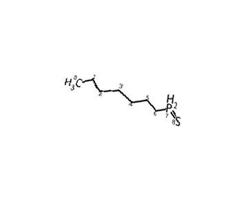 CCCCCCC[PH2]=S